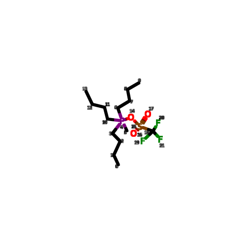 CCCCP(C)(CCCC)(CCCC)OS(=O)(=O)C(F)(F)F